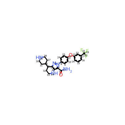 NC(=O)c1c2c(nn1-c1ccc(Oc3cccc(C(F)(F)F)c3)cc1)C(C1CCNCC1)CCN2